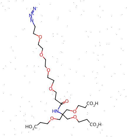 [N-]=[N+]=NCCOCCOCCOCCOCCC(=O)NC(COCCC(=O)O)(COCCC(=O)O)COCCC(=O)O